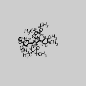 CCOC(C)CN1C(=O)C2=C(c3ccc(C)c(C)c3)N(CC(OCC)OCC)C(=O)C2=C1c1ccc(OC)c(OC)c1